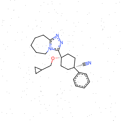 N#C[C@]1(c2ccccc2)CC[C@@](OCC2CC2)(c2nnc3n2CCCCC3)CC1